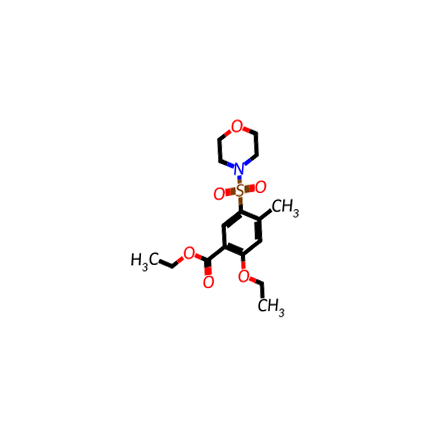 CCOC(=O)c1cc(S(=O)(=O)N2CCOCC2)c(C)cc1OCC